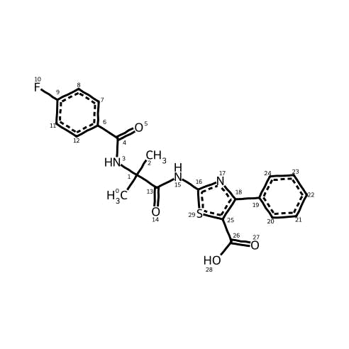 CC(C)(NC(=O)c1ccc(F)cc1)C(=O)Nc1nc(-c2ccccc2)c(C(=O)O)s1